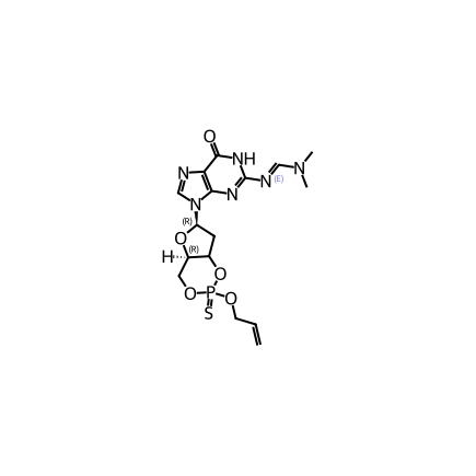 C=CCOP1(=S)OC[C@H]2O[C@@H](n3cnc4c(=O)[nH]c(/N=C/N(C)C)nc43)CC2O1